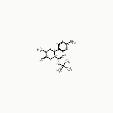 CN1CC(c2ccc(N)cc2)N(C(=O)OC(C)(C)C)CC1=O